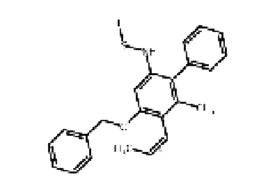 C/C=C\c1c(OCc2ccccc2)cc(NSI)c(-c2ccccc2)c1C